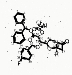 O=C(OC(c1ccccc1)c1ccccc1)[C@H](OS(=O)(=O)C(F)(F)F)[C@@H](OCc1ccc(F)cc1)[C@H]1CN2C(=O)C[C@@H]2O1